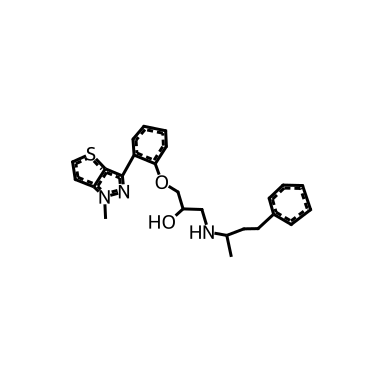 CC(CCc1ccccc1)NCC(O)COc1ccccc1-c1nn(C)c2ccsc12